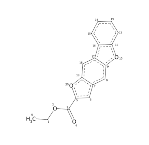 CCOC(=O)c1cc2cc3oc4ccccc4c3cc2o1